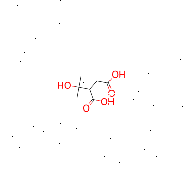 CC(C)(O)C(CC(=O)O)C(=O)O